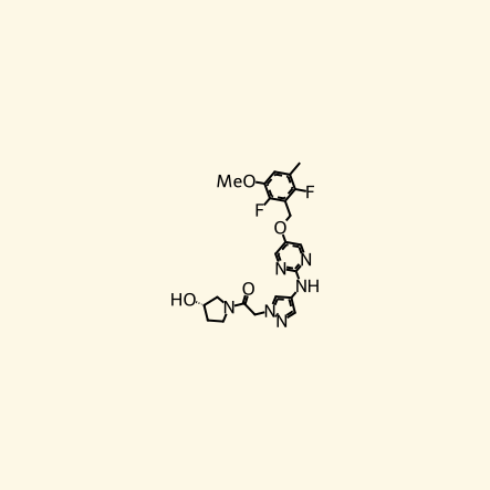 COc1cc(C)c(F)c(COc2cnc(Nc3cnn(CC(=O)N4CC[C@H](O)C4)c3)nc2)c1F